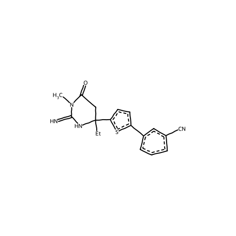 CCC1(c2ccc(-c3cccc(C#N)c3)s2)CC(=O)N(C)C(=N)N1